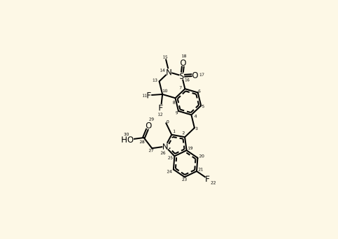 Cc1c(Cc2ccc3c(c2)C(F)(F)CN(C)S3(=O)=O)c2cc(F)ccc2n1CC(=O)O